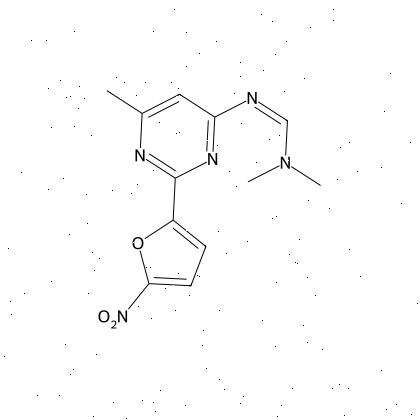 Cc1cc(/N=C\N(C)C)nc(-c2ccc([N+](=O)[O-])o2)n1